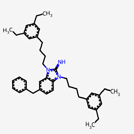 CCc1cc(CC)cc(CCCCn2c(=N)n(CCCCc3cc(CC)cc(CC)c3)c3cc(Cc4ccccc4)ccc32)c1